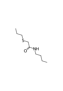 CCCCNC(=O)CSCCC